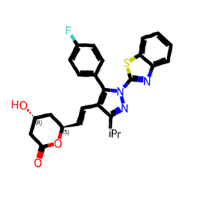 CC(C)c1nn(-c2nc3ccccc3s2)c(-c2ccc(F)cc2)c1C=C[C@@H]1C[C@@H](O)CC(=O)O1